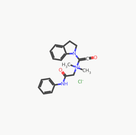 C[N+](C)(CC(=O)Nc1ccccc1)C(=C=O)N1CCc2ccccc21.[Cl-]